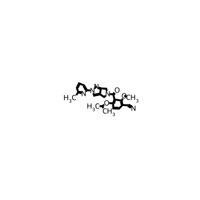 COc1c(C#N)ccc(OC(C)C)c1C(=O)N1Cc2cn(-c3cccc(C)n3)nc2C1